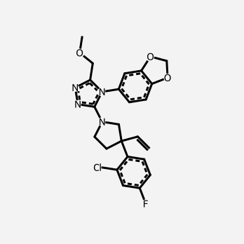 C=CC1(c2ccc(F)cc2Cl)CCN(c2nnc(COC)n2-c2ccc3c(c2)OCO3)C1